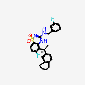 C[C@@H](c1ccc2c(c1)CCCC2)c1c(F)ccc2c1NC(NCc1cccc(F)c1)=NS2(=O)=O